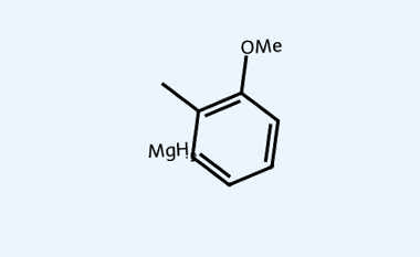 COc1ccc[c]c1C.[MgH2]